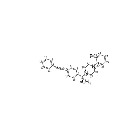 C=C(c1ccc(C#Cc2ccccc2)cc1)N1CCN(c2ccccc2F)CC1